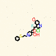 COc1ccc2ncc(Cl)c([C@@H](F)CCC3(C(=O)O)CCN(CCCSc4ccccc4)CC3)c2c1